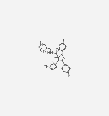 Cc1ccc(N2N=C(c3ccc(F)cc3)C(c3ccc(Cl)o3)C2(C)C(=O)NCC2CN(C)CCO2)cc1